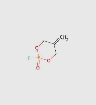 C=C1COP(=O)(F)OC1